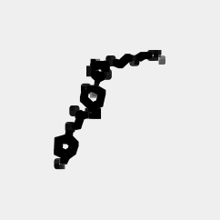 O=C(COc1ccc(Cl)cc1)N[C@@H]1CC[C@@H](c2nnc(OCCOCC(F)(F)F)o2)OC1